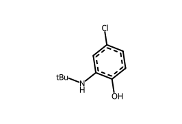 CC(C)(C)Nc1cc(Cl)ccc1O